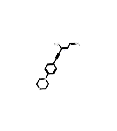 C=C/C=C(\C)C#Cc1ccc(N2CCOCC2)cc1